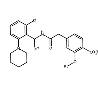 CCCC(NC(=O)Cc1ccc(C(=O)OCC)c(OCC)c1)c1c(Cl)cccc1N1CCCCC1